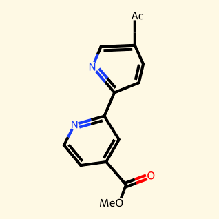 COC(=O)c1ccnc(-c2ccc(C(C)=O)cn2)c1